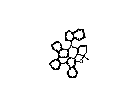 C[C@]12CC=CC(N(c3cccc4ccccc34)c3cccc4ccccc34)=C1c1cc(-c3ccccc3)c3ccccc3c1O2